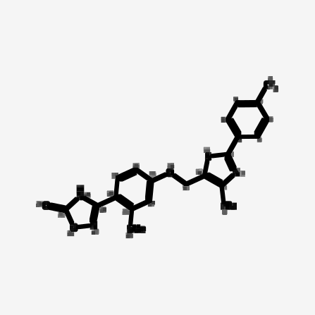 CCCCc1nc(-c2ccc(C(F)(F)F)cc2)sc1COc1ccc(-c2noc(=O)[nH]2)c(SC)c1